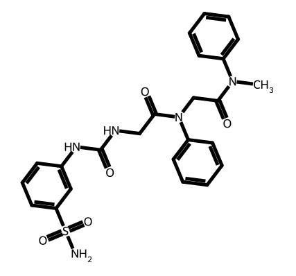 CN(C(=O)CN(C(=O)CNC(=O)Nc1cccc(S(N)(=O)=O)c1)c1ccccc1)c1ccccc1